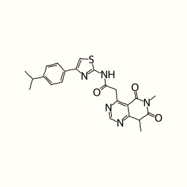 CC(C)c1ccc(-c2csc(NC(=O)Cc3ncnc4c3C(=O)N(C)C(=O)C4C)n2)cc1